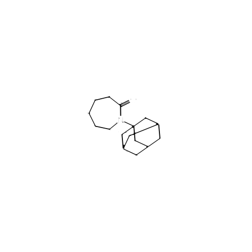 O=C1CCCCCN1C12CC3CC(CC(C3)C1)C2